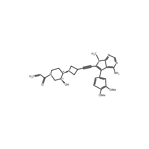 C=CC(=O)N1CC[C@@H](N2CC(C#Cc3c(-c4ccc(OC)c(OC)c4)c4c(N)ncnc4n3C)C2)[C@@H](O)C1